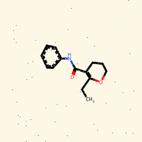 CCC1=C(C(=O)Nc2ccccc2)CCCO1